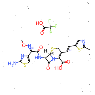 CO/N=C(/C(=O)NC1C(=O)N2C(C(=O)O)=C(/C=C/c3cnc(C)s3)CS[C@H]12)c1csc(N)n1.O=C(O)C(F)(F)F